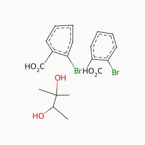 CC(O)C(C)(C)O.O=C(O)c1ccccc1Br.O=C(O)c1ccccc1Br